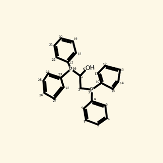 OC(CP(c1ccccc1)c1ccccc1)P(c1ccccc1)c1ccccc1